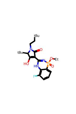 CCOP1(=O)N=C(C2=C(O)C(C(C)(C)C)N(CCC(C)(C)C)C2=O)Nc2c(F)cccc21